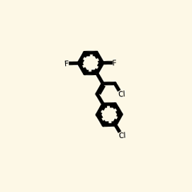 Fc1ccc(F)c(C(=Cc2ccc(Cl)cc2)CCl)c1